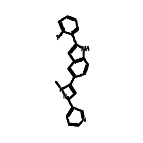 Cn1nc(-c2cccnc2)cc1-c1ccc2[nH]c(-c3ccccc3F)cc2c1